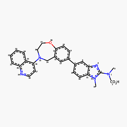 CN(C(=O)O)c1nc2cc(-c3ccc4c(c3)CN(c3ccnc5ccccc35)CCO4)ccc2n1C